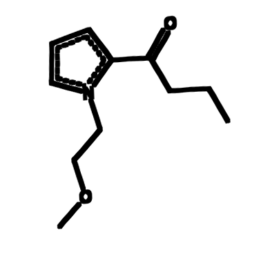 CCCC(=O)c1cccn1CCOC